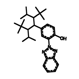 CC(C)C(C(c1ccc(O)c(-n2nc3ccccc3n2)c1)C(C(C)C)C(C)(C)C)C(C)(C)C